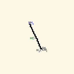 CC(C)(C)CCCCCCCCCCCCCCCCCCCCCN.Cl